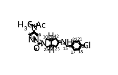 CC(=O)N(C)c1cnn(C(=O)N2C[C@H]3C[C@@H](NCc4ccc(Cl)cc4)C[C@H]3C2)c1